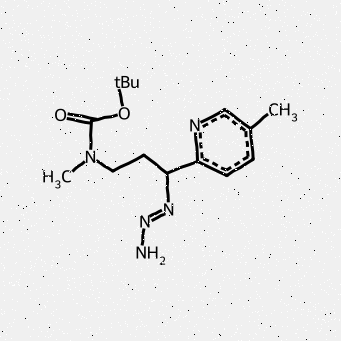 Cc1ccc(C(CCN(C)C(=O)OC(C)(C)C)N=NN)nc1